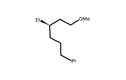 CC[C@H](CCCC(C)C)CCOC